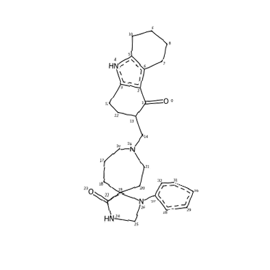 O=C1c2c([nH]c3c2CCCC3)CCC1CN1CCCC2(CC1)C(=O)NCN2c1ccccc1